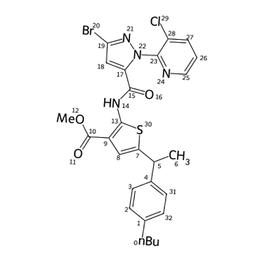 CCCCc1ccc(C(C)c2cc(C(=O)OC)c(NC(=O)c3cc(Br)nn3-c3ncccc3Cl)s2)cc1